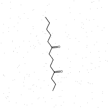 CCCCCC(=O)CCCC(=O)CCC